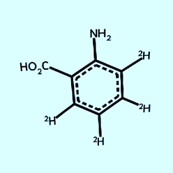 [2H]c1c([2H])c([2H])c(C(=O)O)c(N)c1[2H]